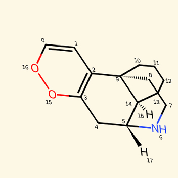 C1=CC2=C(C[C@H]3NCC[C@@]24CCCC[C@@H]34)OO1